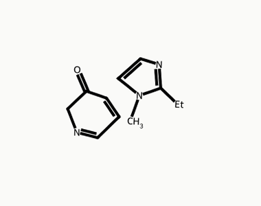 CCc1nccn1C.O=C1C=CC=NC1